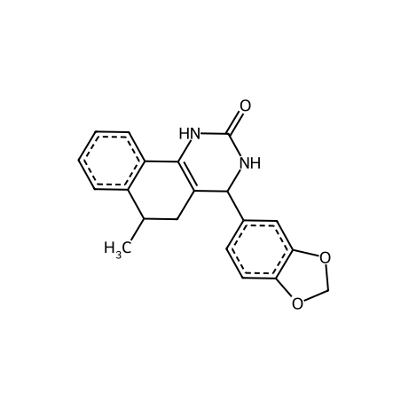 CC1CC2=C(NC(=O)NC2c2ccc3c(c2)OCO3)c2ccccc21